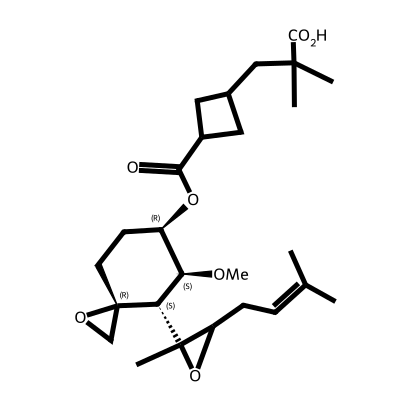 CO[C@H]1[C@H](C2(C)OC2CC=C(C)C)[C@]2(CC[C@H]1OC(=O)C1CC(CC(C)(C)C(=O)O)C1)CO2